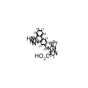 CCCc1nn2ncc(C(=O)O)c2n1Cc1ccc(-c2ccccc2-c2nnn[nH]2)cc1